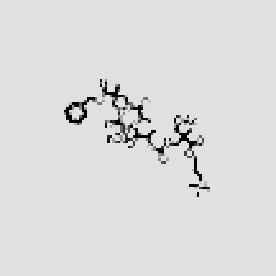 CCCCNC(=O)OCC(C)(COC(=O)C(C)OC(=O)C(C)OC(=O)OCC(C)(COC(C)=O)C(=O)OCCC[N+](C)(C)C)C(=O)OCc1ccccc1